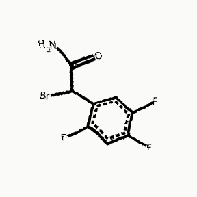 NC(=O)C(Br)c1cc(F)c(F)cc1F